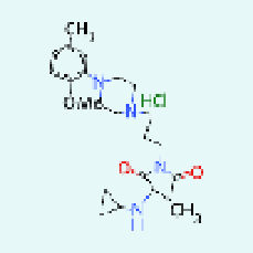 COc1ccc(C)cc1N1CCN(CCCN2C(=O)C(C)C(NC3CC3)C2=O)CC1.Cl